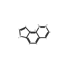 c1cc2ccc3sccc3c2nn1